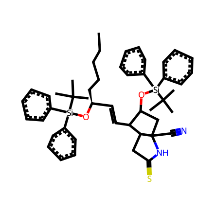 CCCCC[C@@H](C=CC1C(O[Si](c2ccccc2)(c2ccccc2)C(C)(C)C)CC2(C#N)NC(=S)CC12)O[Si](c1ccccc1)(c1ccccc1)C(C)(C)C